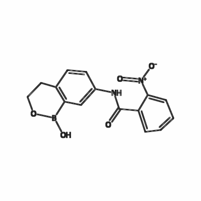 O=C(Nc1ccc2c(c1)B(O)OCC2)c1ccccc1[N+](=O)[O-]